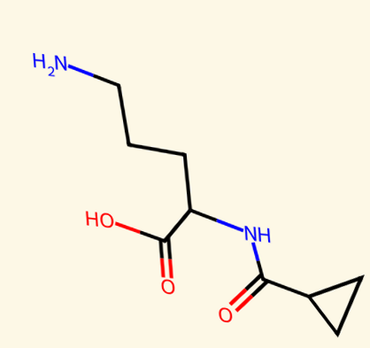 NCCCC(NC(=O)C1CC1)C(=O)O